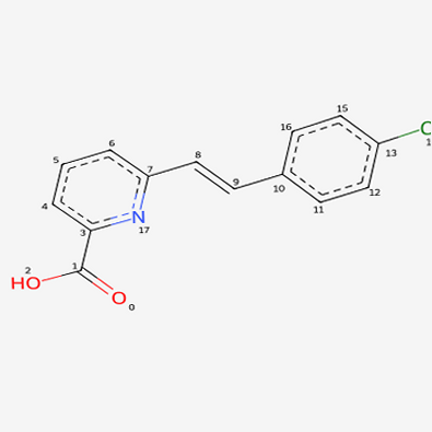 O=C(O)c1cccc(/C=C/c2ccc(Cl)cc2)n1